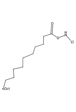 CCCCCCCCCCCCCCCCCC(=O)ONCl